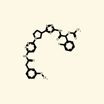 O=C(Cc1cccc(OC(F)(F)F)c1)Nc1ccc(N2CCC(c3nnc(NC(=O)C(OC(=O)C(F)(F)F)c4ccccc4F)s3)C2)nn1